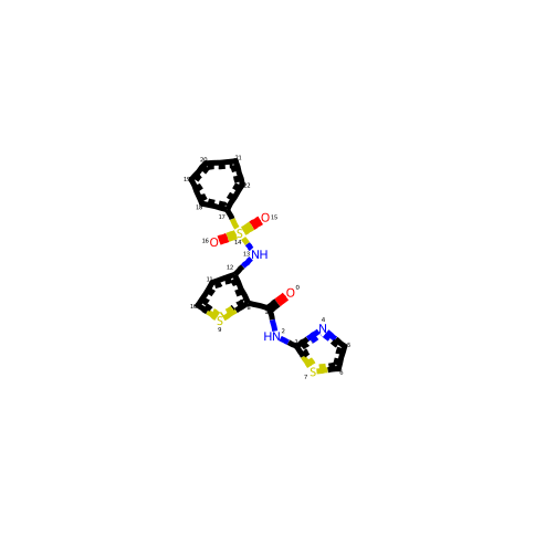 O=C(Nc1nccs1)c1sccc1NS(=O)(=O)c1ccccc1